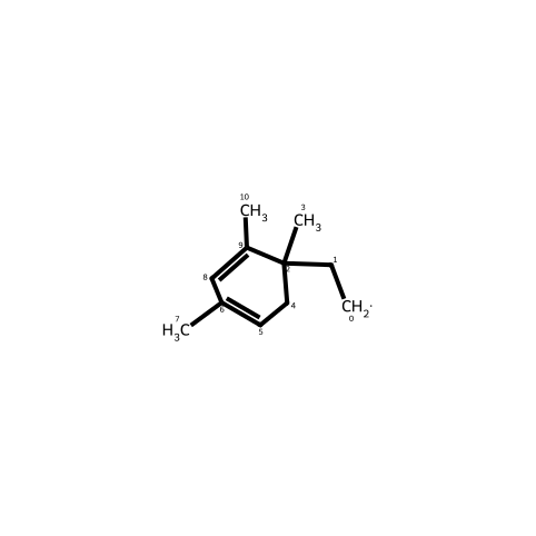 [CH2]CC1(C)CC=C(C)C=C1C